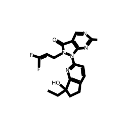 CCC1(O)CCc2ccc(-n3c4nc(C)ncc4c(=O)n3CC=C(F)F)nc21